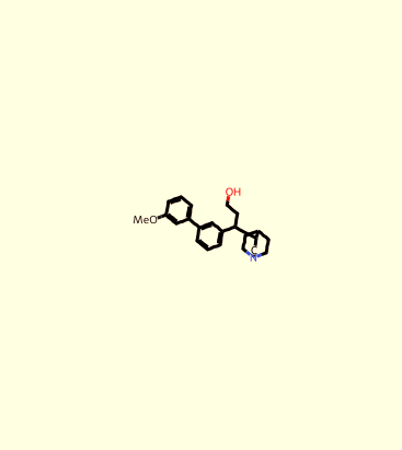 COc1cccc(-c2cccc(C(CCO)C3CN4CCC3CC4)c2)c1